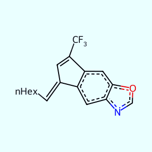 CCCCCC/C=C1\C=C(C(F)(F)F)c2cc3ocnc3cc21